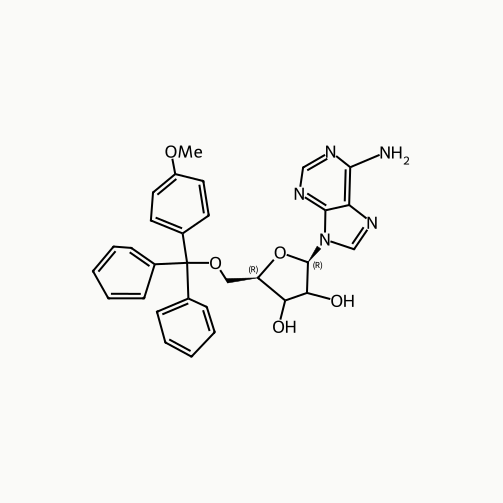 COc1ccc(C(OC[C@H]2O[C@@H](n3cnc4c(N)ncnc43)C(O)C2O)(c2ccccc2)c2ccccc2)cc1